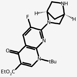 CCOC(=O)c1cn(C(C)(C)C)c2nc(N3C[C@H]4C[C@@H]3CN4)c(F)cc2c1=O